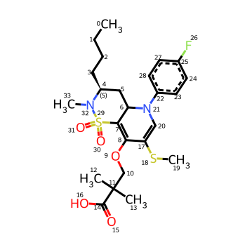 CCCC[C@H]1CC2C(=C(OCC(C)(C)C(=O)O)C(SC)=CN2c2ccc(F)cc2)S(=O)(=O)N1C